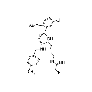 COc1ccc(Cl)cc1C(=O)N[C@@H](CCCNC(=N)CF)C(=O)NCc1ccc(C)cc1